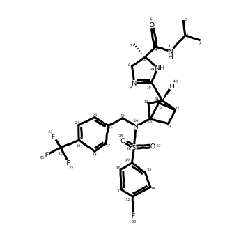 CC(C)NC(=O)[C@]1(C)CN=C([C@H]2CC3(N(Cc4ccc(C(F)(F)F)cc4)S(=O)(=O)c4ccc(F)cc4)CC2C3)N1